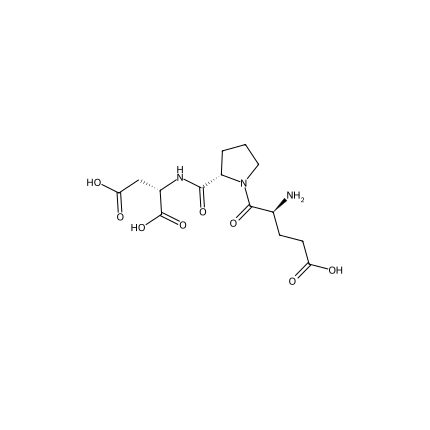 N[C@@H](CCC(=O)O)C(=O)N1CCC[C@H]1C(=O)N[C@@H](CC(=O)O)C(=O)O